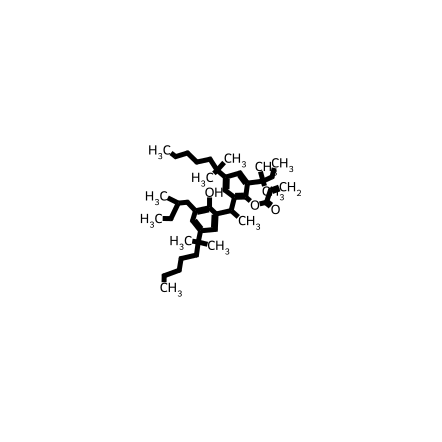 C=CC(=O)Oc1c(C(C)c2cc(C(C)(C)CCCCC)cc(CC(C)CC)c2O)cc(C(C)(C)CCCCC)cc1C(C)(C)CC